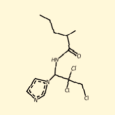 CCCC(C)C(=O)NC(n1ccnc1)C(Cl)(Cl)CCl